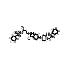 O=C(CCNC(=O)c1ccc(N2CCN(Cc3nc4ccccc4[nH]3)CC2)cc1)ONS(=O)(=O)c1ccccc1